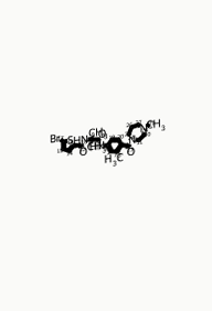 Cc1cc(NC(=O)C(C)(C)NC(=O)c2ccc(Br)s2)ccc1C(=O)N1CCCN(C)CC1